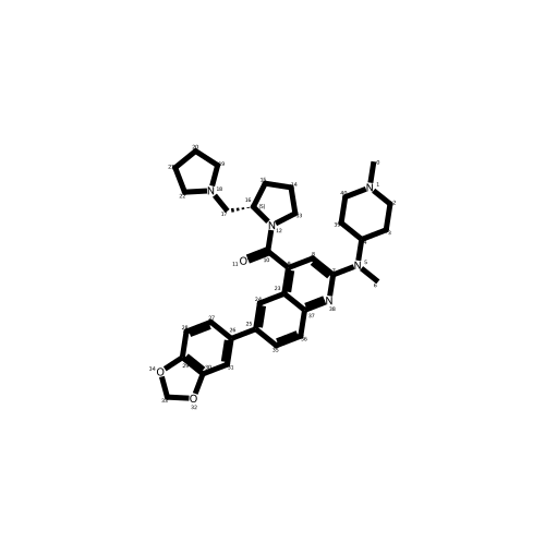 CN1CCC(N(C)c2cc(C(=O)N3CCC[C@H]3CN3CCCC3)c3cc(-c4ccc5c(c4)OCO5)ccc3n2)CC1